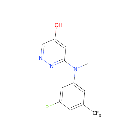 CN(c1cc(F)cc(C(F)(F)F)c1)c1cc(O)cnn1